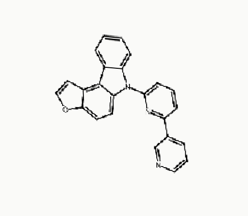 c1cncc(-c2cccc(-n3c4ccccc4c4c5ccoc5ccc43)n2)c1